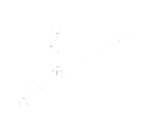 CC(C)(C)OC(=O)CCOCCOCCOCCOCCNC(=O)[C@H](CCCCNC(=O)OCc1ccccc1)NC(=O)CCCNC(=O)OCc1ccccc1